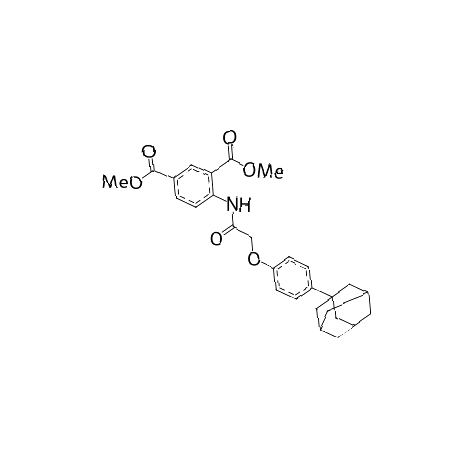 COC(=O)c1ccc(NC(=O)COc2ccc(C34CC5CC(CC(C5)C3)C4)cc2)c(C(=O)OC)c1